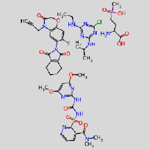 C#CCN1C(=O)COc2cc(F)c(N3C(=O)C4=C(CCCC4)C3=O)cc21.CCNc1nc(Cl)nc(NC(C)C)n1.COc1cc(OC)nc(NC(=O)NS(=O)(=O)c2ncccc2C(=O)N(C)C)n1.CP(=O)(O)CCC(N)C(=O)O